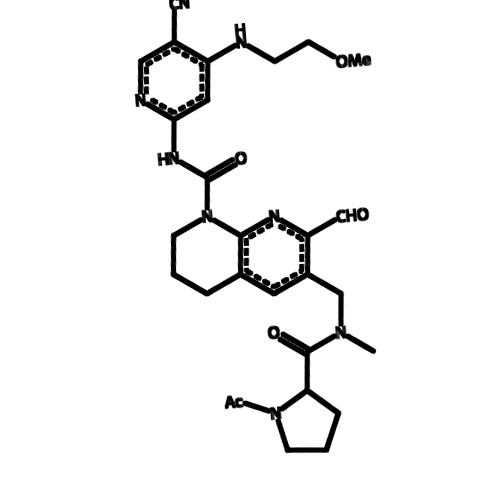 COCCNc1cc(NC(=O)N2CCCc3cc(CN(C)C(=O)C4CCCN4C(C)=O)c(C=O)nc32)ncc1C#N